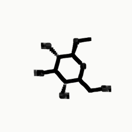 CO[C@H]1OC(CO)[C@H](O)C(O)[C@@H]1O